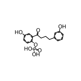 O=C(CCCc1cccc(O)c1)c1cc(O)ccc1OP(=O)(O)O